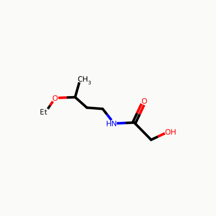 CCOC(C)CCNC(=O)CO